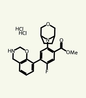 COC(=O)c1cc(F)c(-c2cccc3c2OCNC3)cc1N1C2CCC1COC2.Cl.Cl